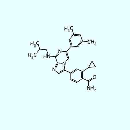 Cc1cc(C)cc(-c2cn3c(-c4ccc(C(N)=O)c(C5CC5)c4)cnc3c(NCC(C)C)n2)c1